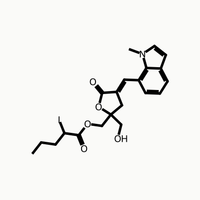 CCCC(I)C(=O)OCC1(CO)C/C(=C\c2cccc3ccn(C)c23)C(=O)O1